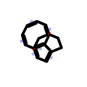 [C]1=C(/C2=C\C=C/CCCC2)\C=C/C=C\C=C/1